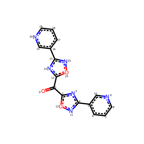 O=C(c1nc(-c2cccnc2)no1)c1nc(-c2cccnc2)no1